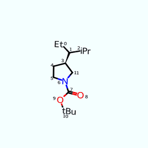 CCC(C(C)C)[C@@H]1CCN(C(=O)OC(C)(C)C)C1